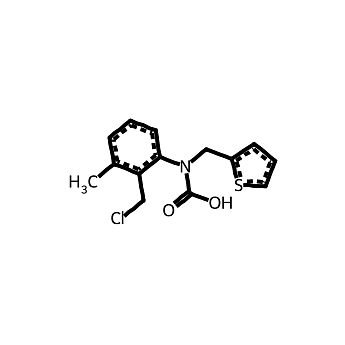 Cc1cccc(N(Cc2cccs2)C(=O)O)c1CCl